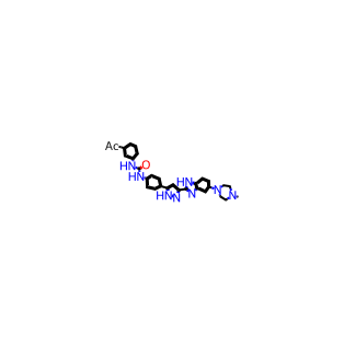 CC(=O)c1cccc(NC(=O)Nc2ccc(-c3cc(-c4nc5cc(N6CCN(C)CC6)ccc5[nH]4)n[nH]3)cc2)c1